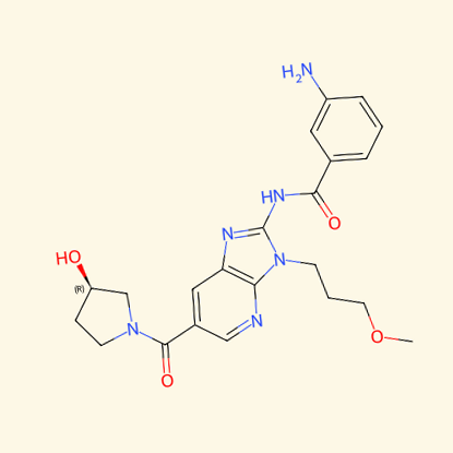 COCCCn1c(NC(=O)c2cccc(N)c2)nc2cc(C(=O)N3CC[C@@H](O)C3)cnc21